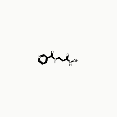 O=C(CCNC(=O)c1cccnc1)NO